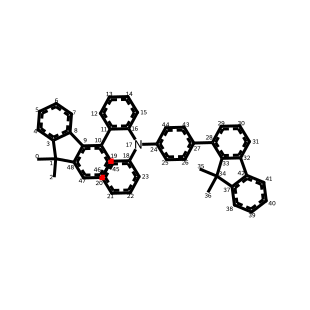 CC1(C)c2ccccc2-c2c(-c3ccccc3N(c3ccccc3)c3ccc(-c4cccc5c4C(C)(C)c4ccccc4-5)cc3)cccc21